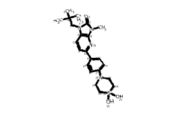 Cn1c(=O)n(CC(C)(C)C)c2ccc(-c3ccc(N4CCS(O)(O)CC4)cc3)nc21